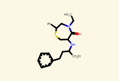 CCOC(=O)C(CCc1ccccc1)NC1CSC(C(C)C)CN(CC(=O)O)C1=O